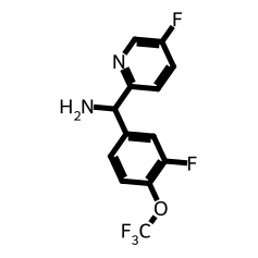 NC(c1ccc(OC(F)(F)F)c(F)c1)c1ccc(F)cn1